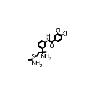 C=C(N)SCCC(C)(N)c1cccc(NC(=O)c2ccc(Cl)c(Cl)c2)c1